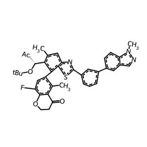 CC(=O)[C@@H](OC(C)(C)C)c1c(C)cc2nc(-c3cccc(-c4ccc5c(cnn5C)c4)c3)sc2c1-c1cc(F)c2c(c1C)C(=O)CCO2